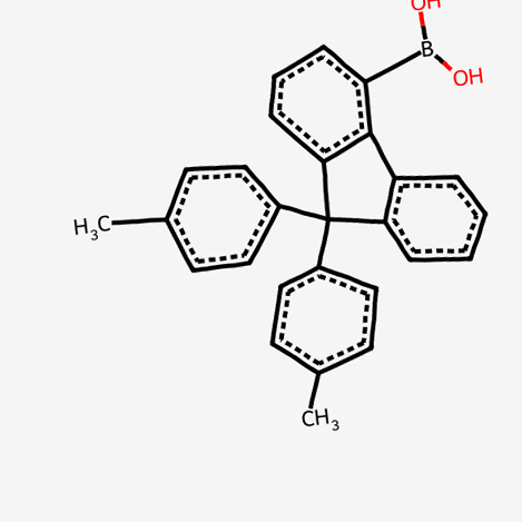 Cc1ccc(C2(c3ccc(C)cc3)c3ccccc3-c3c(B(O)O)cccc32)cc1